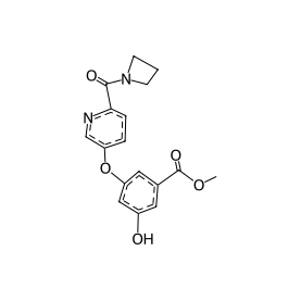 COC(=O)c1cc(O)cc(Oc2ccc(C(=O)N3CCC3)nc2)c1